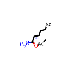 CC(=O)CC/C=C/C(N)=O.CC(C)=O